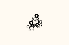 CNC(=O)c1nn(-c2cnc(OC)c(C(=O)NCc3ccccc3OC(C)C)c2)c2ccccc12